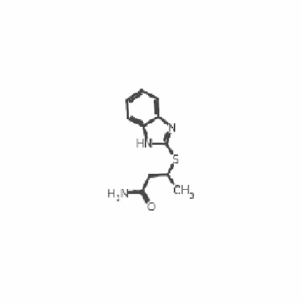 CC(CC(N)=O)Sc1nc2ccccc2[nH]1